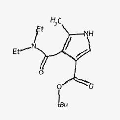 CCN(CC)C(=O)c1c(C(=O)OC(C)(C)C)c[nH]c1C